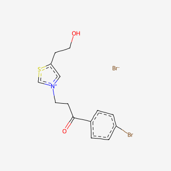 O=C(CC[n+]1csc(CCO)c1)c1ccc(Br)cc1.[Br-]